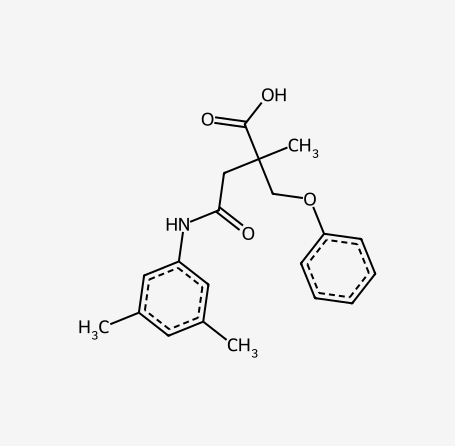 Cc1cc(C)cc(NC(=O)CC(C)(COc2ccccc2)C(=O)O)c1